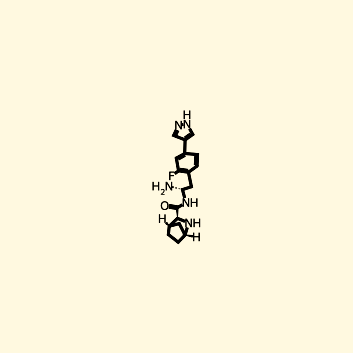 N[C@H](Cc1ccc(-c2cn[nH]c2)cc1F)NC(=O)[C@H]1N[C@@H]2CC[C@H]1C2